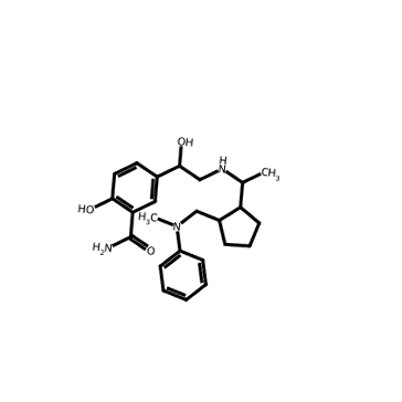 CC(NCC(O)c1ccc(O)c(C(N)=O)c1)C1CCCC1CN(C)c1ccccc1